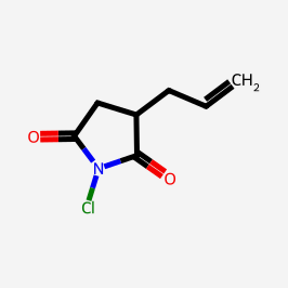 C=CCC1CC(=O)N(Cl)C1=O